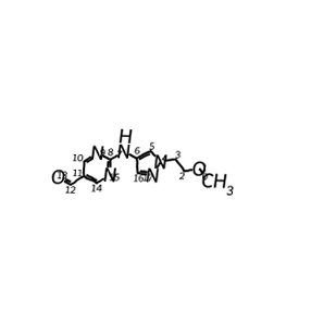 COCCn1cc(Nc2ncc(C=O)cn2)cn1